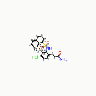 Cl.NC(=O)CCc1cccc([N+](=O)[O-])c1NS(=O)(=O)c1cccc2ccccc12